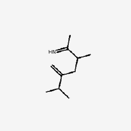 C=C(CC(C)C(C)=N)C(C)C